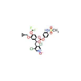 CS(=O)(=O)Nc1ccc(OC(=O)OC(Cc2c(Cl)c[n+]([O-])cc2Cl)c2ccc(OC(F)F)c(OCC3CC3)c2)cc1